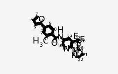 Cc1cc(-c2ccco2)ccc1C(=O)Nc1cnc(-n2nccn2)c(C(F)(F)F)c1